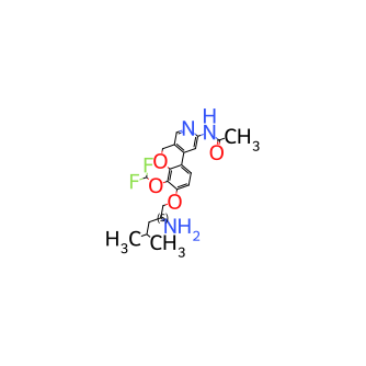 CC(=O)Nc1cc2c(cn1)COc1c-2ccc(OC[C@@H](N)CC(C)C)c1OC(F)F